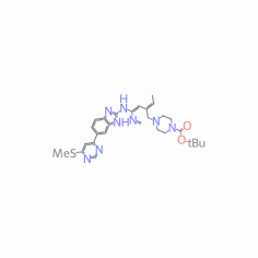 C=N/C(=C\C(=C/C)CN1CCN(C(=O)OC(C)(C)C)CC1)Nc1nc2ccc(-c3cc(SC)ncn3)cc2[nH]1